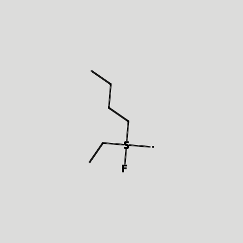 [CH2]S(F)(CC)CCCC